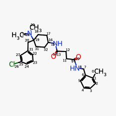 Cc1ccccc1CNC(=O)CCC(=O)NC1CCC(Cc2cccc(Cl)c2)(N(C)C)CC1